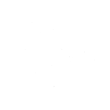 Cc1cc(C(C)C)c(SOOO)c(C(C)C)c1